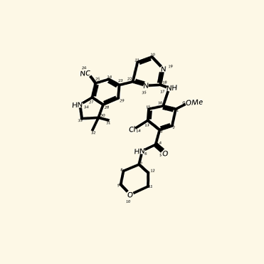 COc1cc(C(=O)NC2CCOCC2)c(Cl)cc1Nc1nccc(-c2cc(C#N)c3c(c2)C(C)(C)CN3)n1